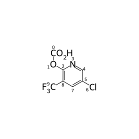 O=C(O)Oc1ncc(Cl)cc1C(F)(F)F